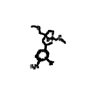 COCC12CCC(COC)(CC(c3ccc(N)c(Br)c3)C1)O2